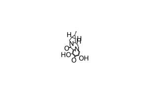 C[C@@H]1[C@@H]2CN3C(=O)c4c(O)c(=O)c(O)cn4C[C@@H]3[C@H]12